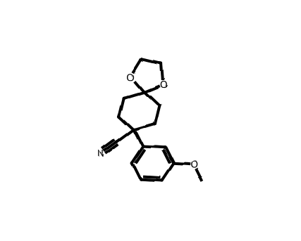 COc1cccc(C2(C#N)CCC3(CC2)OCCO3)c1